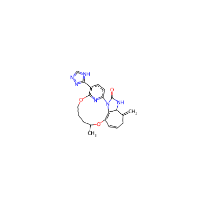 C=C1CC=CC2=C3C1NC(=O)N3c1ccc(-c3nnc[nH]3)c(n1)OCCCC(C)O2